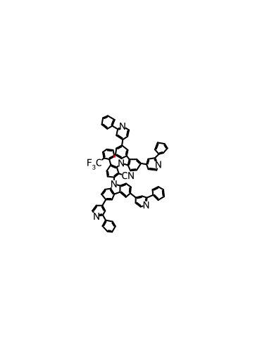 N#Cc1c(-n2c3ccc(-c4ccnc(-c5ccccc5)c4)cc3c3cc(-c4ccnc(-c5ccccc5)c4)ccc32)ccc(-c2ccccc2C(F)(F)F)c1-n1c2ccc(-c3ccnc(-c4ccccc4)c3)cc2c2cc(-c3ccnc(-c4ccccc4)c3)ccc21